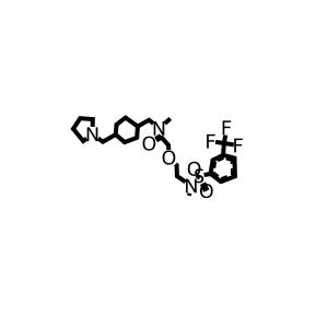 CN(CC1CCC(CN2CCCC2)CC1)C(=O)COCCN(C)S(=O)(=O)c1cccc(C(F)(F)F)c1